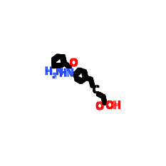 Nc1ccccc1C(=O)Nc1ccc(CCCCCC(=O)O)cc1